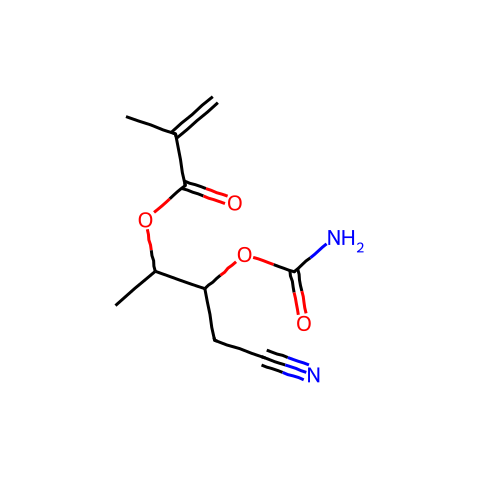 C=C(C)C(=O)OC(C)C(CC#N)OC(N)=O